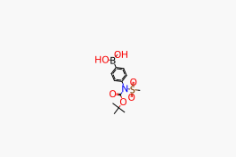 CC(C)(C)OC(=O)N(c1ccc(B(O)O)cc1)S(C)(=O)=O